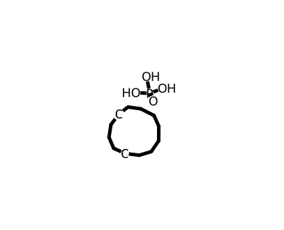 C1CCCCCCCCCCC1.O=P(O)(O)O